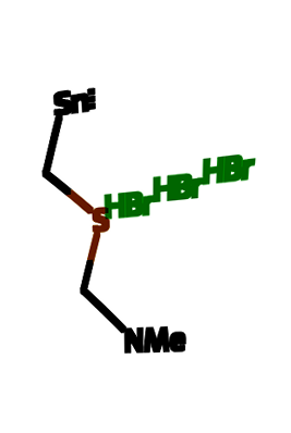 Br.Br.Br.CNCS[CH2][Sn]